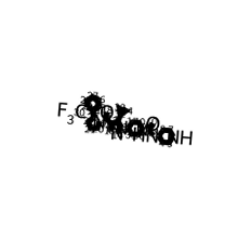 O=C(NC1CCNCC1)N1CCC(n2ncc(C(=O)N3CCCC3c3ccccc3C(F)(F)F)c2C2CC2)CC1